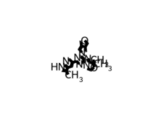 Cc1c[nH]c2ncc(-c3nc(N4C=C5COCC5C4)c4nc5n(c4n3)CCOC5(C)C)cc12